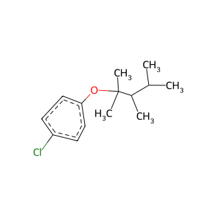 CC(C)C(C)C(C)(C)Oc1ccc(Cl)cc1